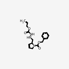 C=CCOC(=O)NNCC1C=CCN1C(=O)OCc1ccccc1